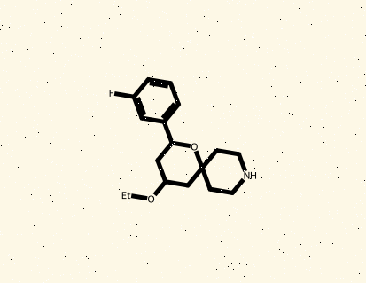 CCOC1CC(c2cccc(F)c2)OC2(CCNCC2)C1